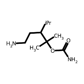 CC(C)C(CCN)C(C)(C)OC(N)=O